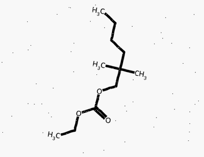 CCCCC(C)(C)COC(=O)OCC